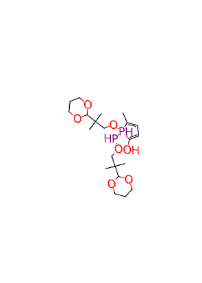 CC1=CC=C(O)[PH]1(OCC(C)(C)C1OCCCO1)POCC(C)(C)C1OCCCO1